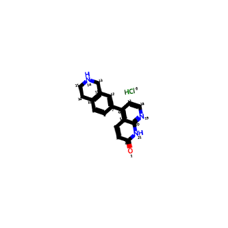 Cl.O=c1ccc2c(-c3ccc4c(c3)CNCC4)ccnc2[nH]1